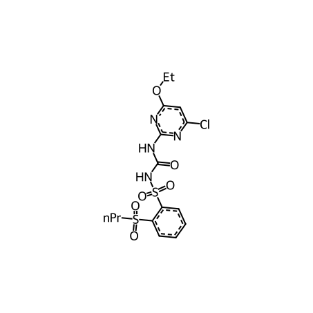 CCCS(=O)(=O)c1ccccc1S(=O)(=O)NC(=O)Nc1nc(Cl)cc(OCC)n1